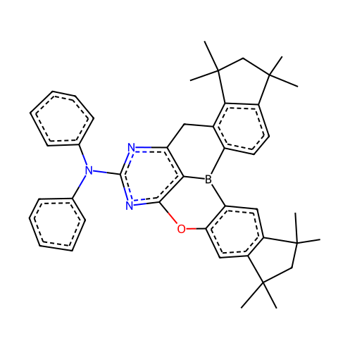 CC1(C)CC(C)(C)c2cc3c(cc21)Oc1nc(N(c2ccccc2)c2ccccc2)nc2c1B3c1ccc3c(c1C2)C(C)(C)CC3(C)C